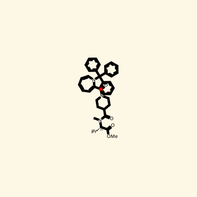 COC(=O)[C@H](C(C)C)N(C)C(=O)C1CCN(C(=O)C2=CC=CC=CN2C(c2ccccc2)(c2ccccc2)c2ccccc2)CC1